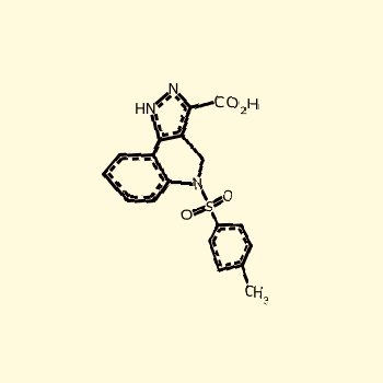 Cc1ccc(S(=O)(=O)N2Cc3c(C(=O)O)n[nH]c3-c3ccccc32)cc1